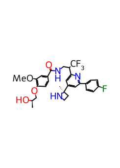 COc1cc(C(=O)NCC(c2cc([C@@]3(C)CCN3)cc(-c3ccc(F)cc3)n2)C(F)(F)F)ccc1OC[C@@H](C)O